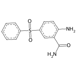 NC(=O)c1cc(S(=O)(=O)c2ccccc2)ccc1N